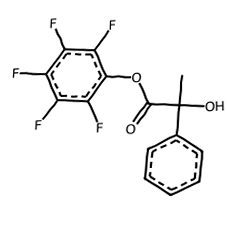 CC(O)(C(=O)Oc1c(F)c(F)c(F)c(F)c1F)c1ccccc1